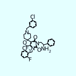 NC(Cn1c(=O)c2c(n(Cc3c(F)cccc3C(F)(F)F)c1=O)COC21CCN(Cc2cccc(Cl)c2)CC1)c1ccccc1